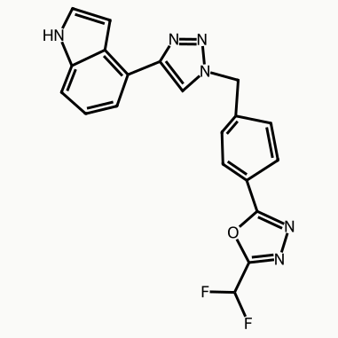 FC(F)c1nnc(-c2ccc(Cn3cc(-c4cccc5[nH]ccc45)nn3)cc2)o1